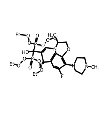 CCOOP(=O)(OOCC)C(O)(c1cn2c3c(c(N4CCN(C)CC4)c(F)cc3c1=O)OCC2C)P(=O)(OOCC)OOCC